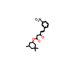 CC1CC(OC(=O)CC(=O)C=Cc2cccc([N+](=O)[O-])c2)CC(C)(C)C1